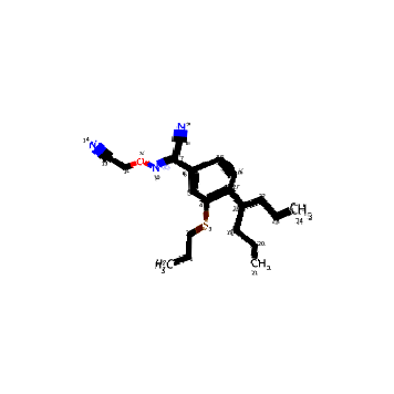 CCCSc1cc(/C(C#N)=N/OCC#N)ccc1C(CCC)CCC